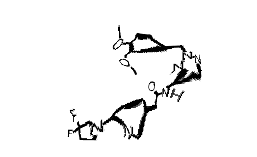 COc1ccc(Cn2ncc(NC(=O)Cc3ccc(N4CCC(F)(F)C4)nc3)n2)cc1OC